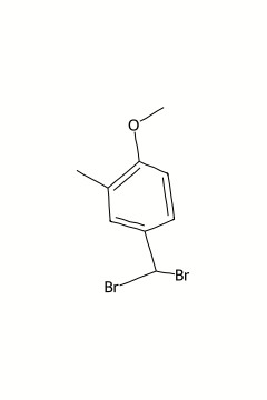 COc1ccc(C(Br)Br)cc1C